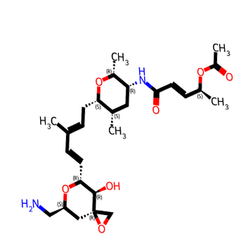 CC(=O)O[C@@H](C)C=CC(=O)N[C@@H]1C[C@H](C)[C@H](CC=C(C)C=C[C@H]2O[C@H](CN)C[C@@]3(CO3)[C@@H]2O)O[C@@H]1C